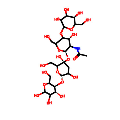 CC(=O)NC1[C@H](O[C@@]2(O)CC(O)[C@H](O[C@@H]3C(CO)OC(O)C(O)[C@H]3O)OC2CO)OC(CO)[C@@H](O[C@@H]2OC(CO)[C@H](O)[C@H](O)C2O)[C@@H]1O